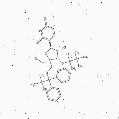 CC(C)(C)[Si](C)(C)O[C@H]1[C@@H](Cl)[C@H](n2ccc(=O)[nH]c2=O)O[C@]1(CCl)CO[Si](c1ccccc1)(c1ccccc1)C(C)(C)C